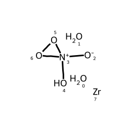 O.O.[O-][N+]1(O)OO1.[Zr]